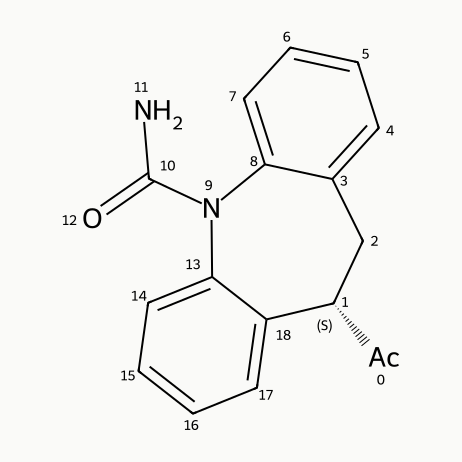 CC(=O)[C@H]1Cc2ccccc2N(C(N)=O)c2ccccc21